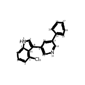 Clc1cccc2[nH]cc(-c3cncc(-c4ccccc4)c3)c12